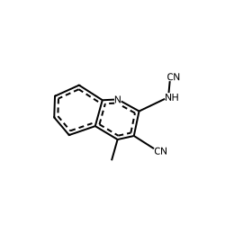 Cc1c(C#N)c(NC#N)nc2ccccc12